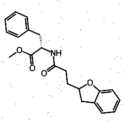 COC(=O)[C@H](Cc1ccccc1)NC(=O)CCC1Cc2ccccc2O1